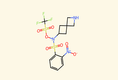 O=[N+]([O-])c1ccccc1S(=O)(=O)N(OS(=O)(=O)C(F)(F)F)C1CC2(CNC2)C1